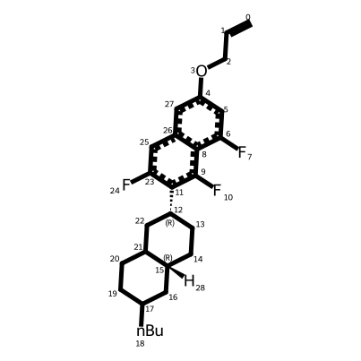 C=CCOc1cc(F)c2c(F)c([C@@H]3CC[C@@H]4CC(CCCC)CCC4C3)c(F)cc2c1